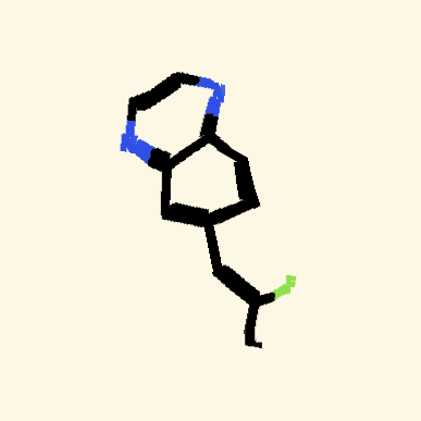 [CH2]/C(F)=C/c1ccc2nccnc2c1